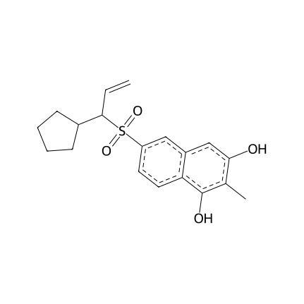 C=CC(C1CCCC1)S(=O)(=O)c1ccc2c(O)c(C)c(O)cc2c1